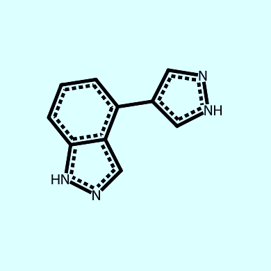 c1cc(-c2cn[nH]c2)c2cn[nH]c2c1